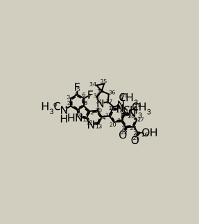 CNc1cc(F)c(F)c2c1[nH]c1ncc(-c3cnc4c(c3)c(=O)c(C(=O)O)cn4C)c(N3CC4(CC4)CC3CN(C)C)c12